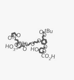 CC(C)(C)C(=O)OCc1ccc(OC2CC(O)CC(C(=O)O)O2)cc1OCCOCCNC(=O)C(CS(=O)(=O)O)NC(=O)CCN1C(=O)C=CC1=O